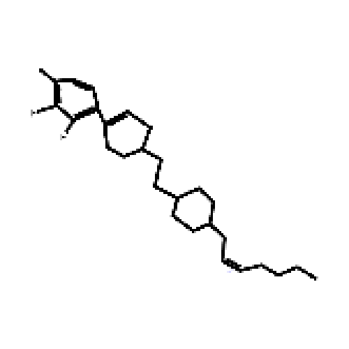 CCCC/C=C\CC1CCC(CCC2CC=C(c3ccc(C)c(F)c3F)CC2)CC1